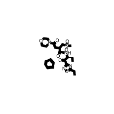 CCc1nc(C(=O)[C@H](CC)NC(=O)C(CC(=O)N2CCOCC2)CS(C)(=O)=O)no1.c1ccccc1